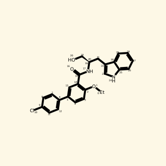 CCOc1ccc(-c2ccc(Cl)cc2)cc1C(=O)N[C@@H](CO)Cc1c[nH]c2ccccc12